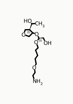 CC(O)[C@@H]1COCC1O[C@@H](CO)OCCCCCOCCN